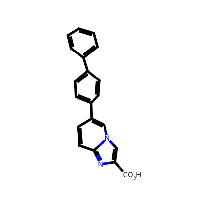 O=C(O)c1cn2cc(-c3ccc(-c4ccccc4)cc3)ccc2n1